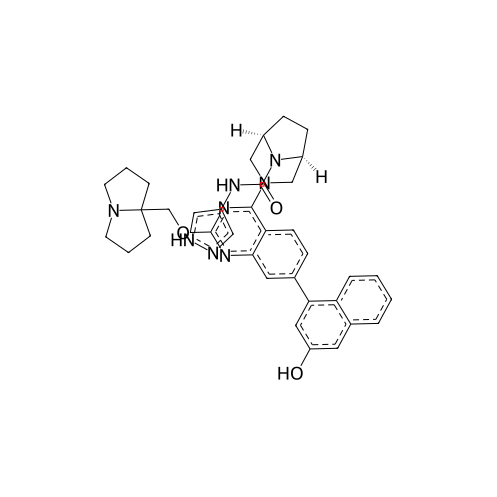 O=C(Nc1cn[nH]c1)N1[C@@H]2CC[C@H]1CN(c1nc(OCC34CCCN3CCC4)nc3cc(-c4cc(O)cc5ccccc45)ccc13)C2